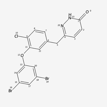 O=c1ccc(Cc2ccc(Cl)c(Oc3cc(Br)cc(Br)c3)c2)n[nH]1